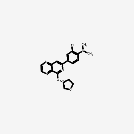 CN(C)c1ccc(-c2cc3nccnc3c(O[C@@H]3CCOC3)n2)cc1Cl